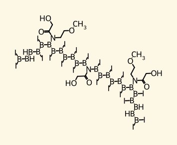 COCCN(B(B(I)B(I)BBB(I)I)B(I)B(I)B(I)B(I)B(I)B(I)N(B(I)B(I)B(I)B(I)B(I)B(I)B(B(I)B(I)BBB(I)I)N(CCOC)C(=O)CO)C(=O)CO)C(=O)CO